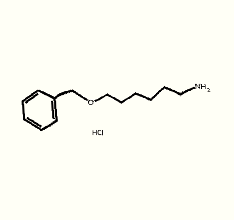 Cl.NCCCCCCOCc1ccccc1